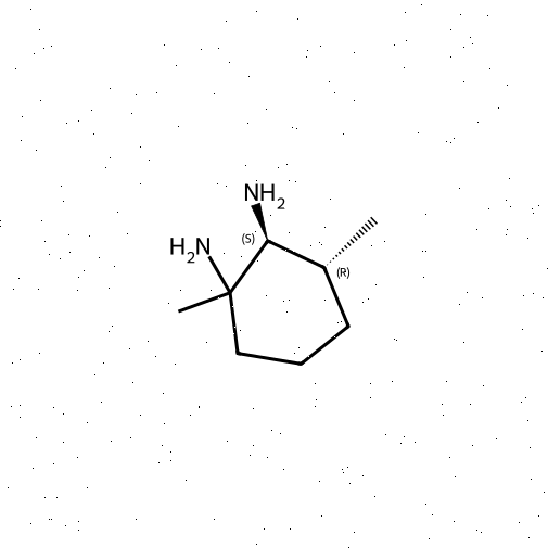 C[C@@H]1CCCC(C)(N)[C@H]1N